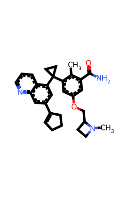 Cc1c(C(N)=O)cc(OCC2CCN2C)cc1C1(c2cc(C3=CCCC3)cc3ncccc23)CC1